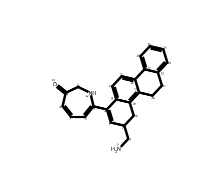 NCC1C=C(C2=CC=CC(=O)CN2)c2ccc3c(c2C1)CCc1ccccc1-3